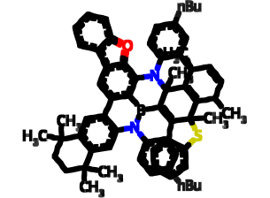 CCCCc1ccc(N2B3C4=C5c6ccccc6SC5(C)C5=C6C(C)(C=CC5C)c5cc(CCCC)ccc5N(c5c3c(cc3c5oc5ccccc53)-c3cc5c(cc32)C(C)(C)CCC5(C)C)C46C)cc1